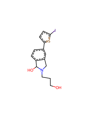 OCCCN1Cc2cc(-c3ccc(I)s3)ccc2C1O